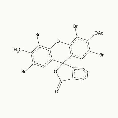 CC(=O)Oc1c(Br)cc2c(c1Br)Oc1c(cc(Br)c(C)c1Br)C21OC(=O)c2ccccc21